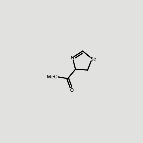 COC(=O)C1C[Se]C=N1